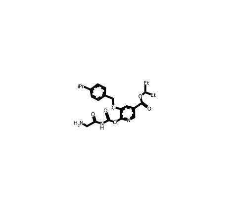 CCC(CC)OC(=O)c1cnc(OC(=O)NC(=O)CN)c(OCc2ccc(C(C)C)cc2)c1